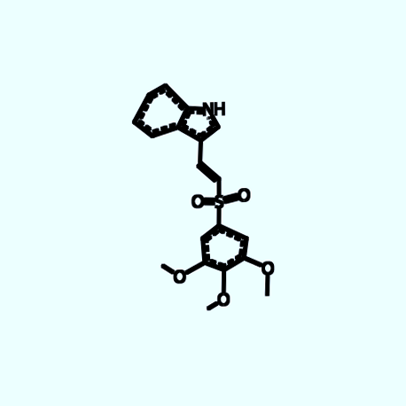 COc1cc(S(=O)(=O)C=Cc2c[nH]c3ccccc23)cc(OC)c1OC